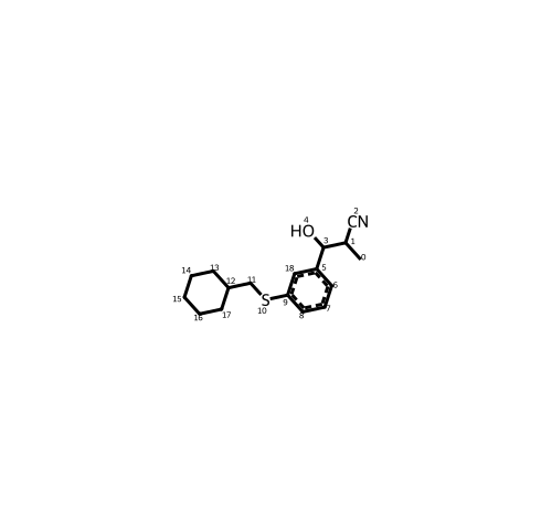 CC(C#N)C(O)c1cccc(SCC2CCCCC2)c1